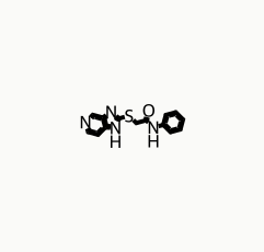 O=C(CSc1nc2cnccc2[nH]1)Nc1ccccc1